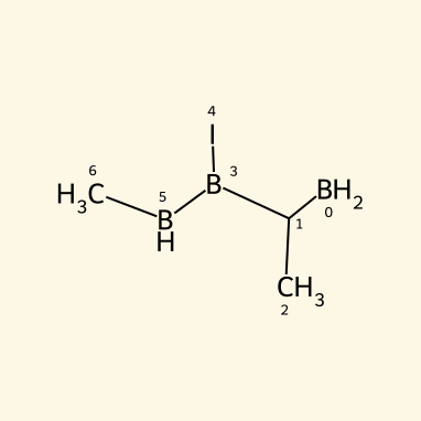 BC(C)B(I)BC